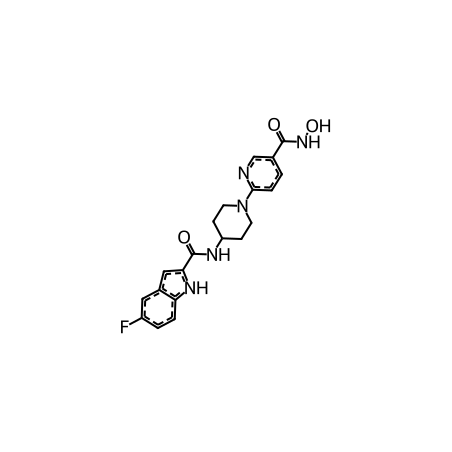 O=C(NO)c1ccc(N2CCC(NC(=O)c3cc4cc(F)ccc4[nH]3)CC2)nc1